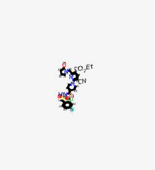 CCOC(=O)c1cc(C#N)c(N2CCC(C(=O)NS(=O)(=O)Cc3ccc(F)cc3Cl)CC2)nc1CN1CCCC1=O